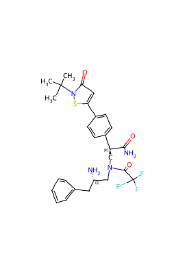 CC(C)(C)n1sc(-c2ccc([C@H](CN(C[C@@H](N)Cc3ccccc3)C(=O)C(F)(F)F)C(N)=O)cc2)cc1=O